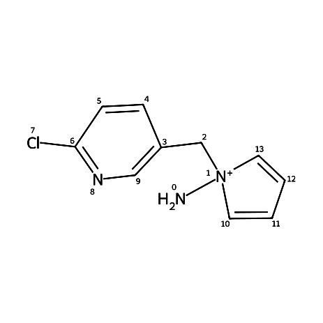 N[N+]1(Cc2ccc(Cl)nc2)C=CC=C1